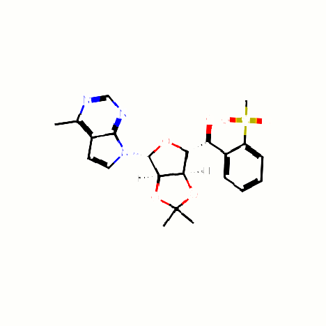 Cc1ncnc2c1ccn2[C@@H]1O[C@H](C(=O)c2ccccc2S(C)(=O)=O)[C@H]2OC(C)(C)O[C@H]21